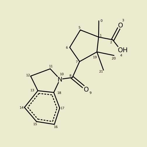 CC1(C(=O)O)CCC(C(=O)N2CCc3ccccc32)C1(C)C